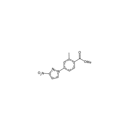 COC(=O)c1ccc(-n2ccc([N+](=O)[O-])n2)cc1C